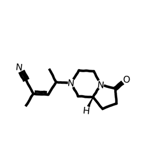 CC(C#N)=CC(C)N1CCN2C(=O)CC[C@@H]2C1